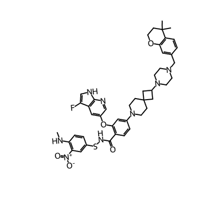 CNc1ccc(SNC(=O)c2ccc(N3CCC4(CC3)CC(N3CCN(Cc5ccc6c(c5)OCCC6(C)C)CC3)C4)cc2Oc2cnc3[nH]cc(F)c3c2)cc1[N+](=O)[O-]